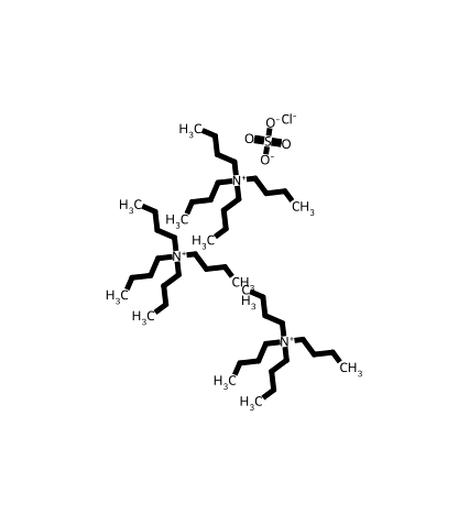 CCCC[N+](CCCC)(CCCC)CCCC.CCCC[N+](CCCC)(CCCC)CCCC.CCCC[N+](CCCC)(CCCC)CCCC.O=S(=O)([O-])[O-].[Cl-]